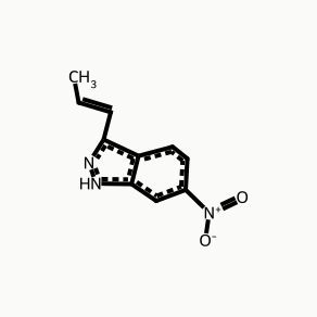 CC=Cc1n[nH]c2cc([N+](=O)[O-])ccc12